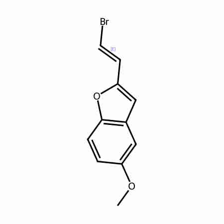 COc1ccc2oc(/C=C/Br)cc2c1